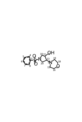 O=S(=O)(c1ccccc1)N1CC(O)C(N2CCOCC2)C1